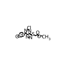 CCOC(=O)CSc1ncnc2c(N3CC[S+]([O-])CC3)nc(Cl)nc12